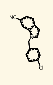 N#Cc1ccc2ccn(Cc3ccc(Cl)cc3)c2c1